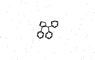 C1=CC(c2ccccc2)=C(C(c2ccccc2)c2ccccc2)C1